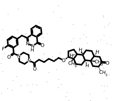 C[C@@H]1C[C@@]2(C)[C@@H](CC[C@@H]3[C@@H]2CC[C@]2(C)[C@@H](OCCCCCC(=O)N4CCN(C(=O)c5cc(Cc6n[nH]c(=O)c7ccccc67)ccc5F)CC4)CC[C@@H]32)CC1=O